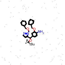 CC(C)(C)[Si](C)(C)OC(c1ccc(N)c(OCc2ccccc2)c1)c1ccnn1COCc1ccccc1